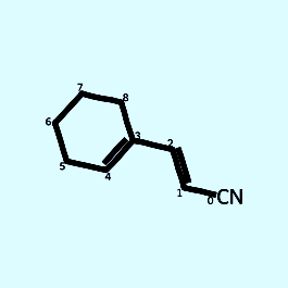 N#C/C=C/C1=CCCCC1